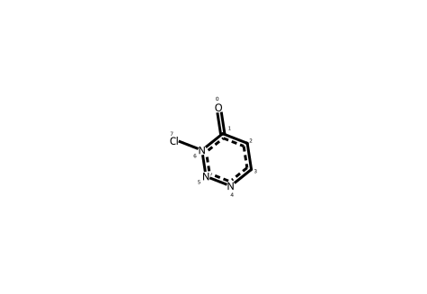 O=c1ccnnn1Cl